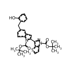 CC(C)(C)OC(=O)n1nc(-c2cc3cc(Cc4ccccc4O)ccc3n2C(=O)OC(C)(C)C)c2sccc21